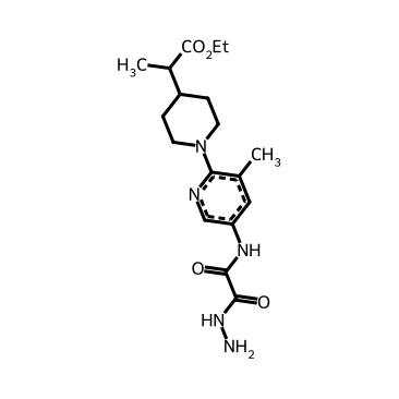 CCOC(=O)C(C)C1CCN(c2ncc(NC(=O)C(=O)NN)cc2C)CC1